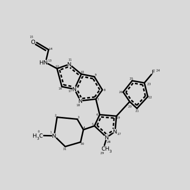 CN1CCC(c2c(-c3ccc4nc(NC=O)cn4n3)c(-c3ccc(F)cc3)nn2C)CC1